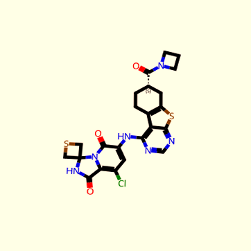 O=C1NC2(CSC2)n2c1c(Cl)cc(Nc1ncnc3sc4c(c13)CC[C@H](C(=O)N1CCC1)C4)c2=O